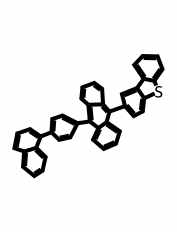 c1ccc2c(-c3ccc(-c4c5ccccc5c(-c5ccc6sc7ccccc7c6c5)c5ccccc45)cc3)cccc2c1